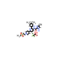 CC1(C)CC=C(c2nc(C3CCN(CCS(C)(=O)=O)CC3)ccc2NC(=O)c2nc(C#N)c[nH]2)CC1.O=C(O)C(F)(F)F